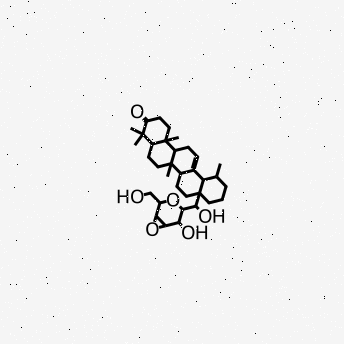 CC1CCCC2(C(O)C3OC(CO)C4OC4C3O)CCC3C(=CCC4C3(C)CCC3C(C)(C)C(=O)CCC34C)C12